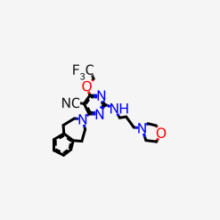 N#Cc1c(OCC(F)(F)F)nc(NCCCN2CCOCC2)nc1N1CCc2ccccc2CC1